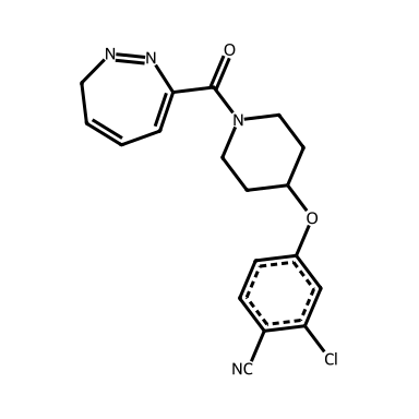 N#Cc1ccc(OC2CCN(C(=O)C3=CC=CCN=N3)CC2)cc1Cl